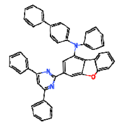 c1ccc(-c2ccc(N(c3ccccc3)c3cc(-c4nc(-c5ccccc5)cc(-c5ccccc5)n4)cc4oc5ccccc5c34)cc2)cc1